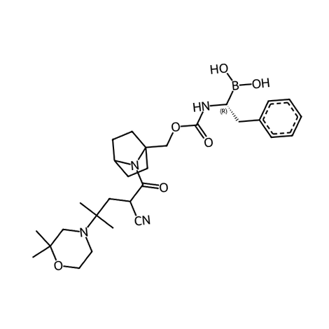 CC1(C)CN(C(C)(C)CC(C#N)C(=O)N2C3CCC2(COC(=O)N[C@@H](Cc2ccccc2)B(O)O)CC3)CCO1